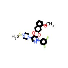 COc1cccc2c1CCC(Oc1c(N3CCN(SC)CC3)cnn(-c3cc(F)cc(F)c3)c1=O)C2